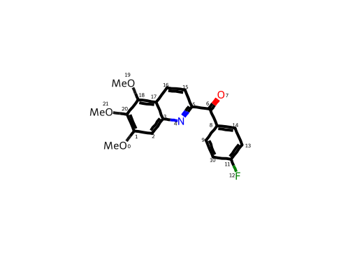 COc1cc2nc(C(=O)c3ccc(F)cc3)ccc2c(OC)c1OC